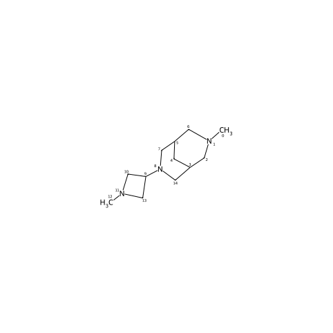 CN1CC2CC(C1)CN(C1CN(C)C1)C2